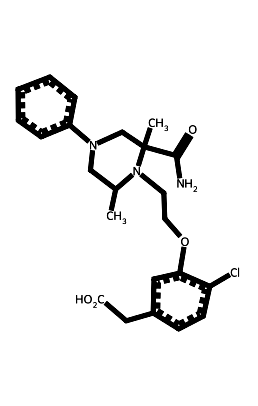 CC1CN(c2ccccc2)CC(C)(C(N)=O)N1CCOc1cc(CC(=O)O)ccc1Cl